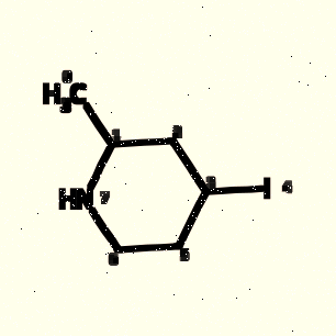 CC1CC(I)CCN1